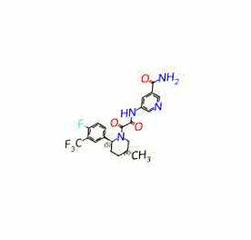 C[C@@H]1CC[C@@H](c2ccc(F)c(C(F)(F)F)c2)N(C(=O)C(=O)Nc2cncc(C(N)=O)c2)C1